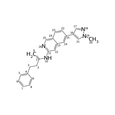 C=C(CCc1ccccc1)Nc1cc2cc(-c3cnn(C)c3)ccc2cn1